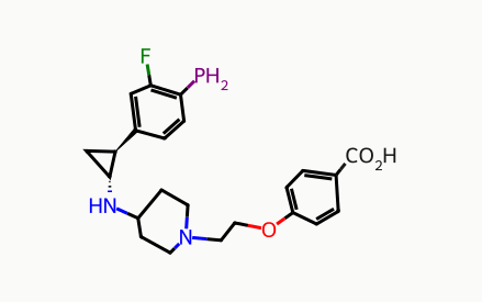 O=C(O)c1ccc(OCCN2CCC(N[C@@H]3C[C@H]3c3ccc(P)c(F)c3)CC2)cc1